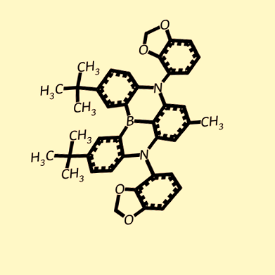 Cc1cc2c3c(c1)N(c1cccc4c1OCO4)c1ccc(C(C)(C)C)cc1B3c1cc(C(C)(C)C)ccc1N2c1cccc2c1OCO2